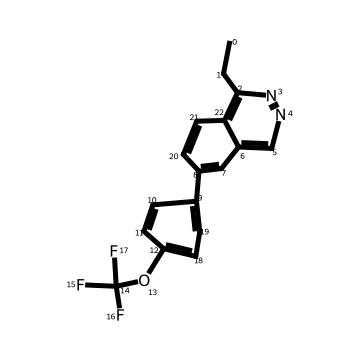 CCc1nncc2cc(-c3ccc(OC(F)(F)F)cc3)ccc12